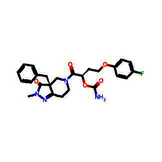 CN1N=C2CCN(C(=O)[C@@H](CCOc3ccc(F)cc3)OC(N)=O)C[C@@]2(Cc2ccccc2)C1=O